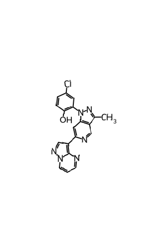 Cc1nn(-c2cc(Cl)ccc2O)c2cc(-c3cnn4cccnc34)ncc12